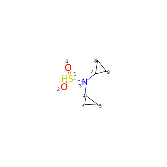 O=[SH](=O)N(C1CC1)C1CC1